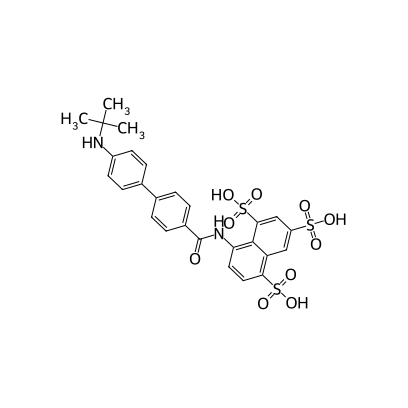 CC(C)(C)Nc1ccc(-c2ccc(C(=O)Nc3ccc(S(=O)(=O)O)c4cc(S(=O)(=O)O)cc(S(=O)(=O)O)c34)cc2)cc1